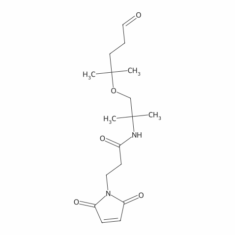 CC(C)(COC(C)(C)CCC=O)NC(=O)CCN1C(=O)C=CC1=O